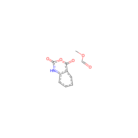 COC=O.O=c1[nH]c2ccccc2c(=O)o1